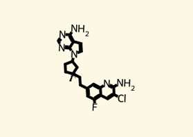 C[C@@]1(CCc2cc(F)c3cc(Cl)c(N)nc3c2)CCC(n2ccc3c(N)ncnc32)C1